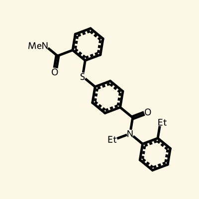 CCc1ccccc1N(CC)C(=O)c1ccc(Sc2ccccc2C(=O)NC)cc1